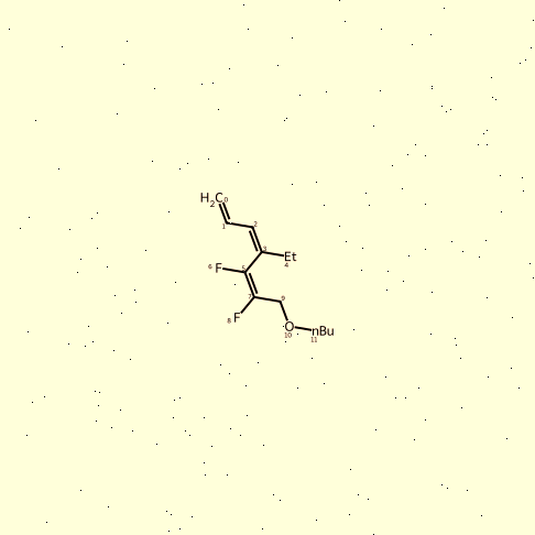 C=C/C=C(CC)\C(F)=C(\F)COCCCC